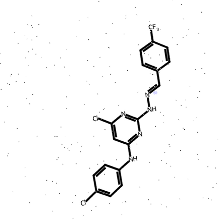 FC(F)(F)c1ccc(/C=N/Nc2nc(Cl)cc(Nc3ccc(Cl)cc3)n2)cc1